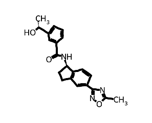 Cc1nc(-c2ccc3c(c2)CC[C@H]3NC(=O)c2cccc([C@@H](C)O)c2)no1